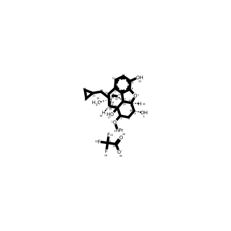 CCCOC1C[C@@H](O)[C@@H]2Oc3c(O)ccc4c3[C@@]23CC[N@+](C)(CC2CC2)[C@H](C4)C13O.O=C([O-])C(F)(F)F